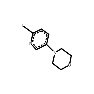 Ic1ccc(N2CCOCC2)cn1